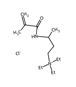 C=C(C)C(=O)NC(C)CC[N+](CC)(CC)CC.[Cl-]